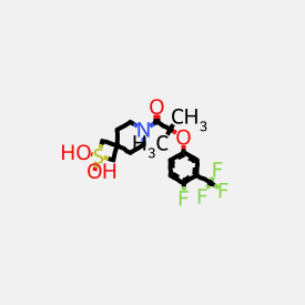 CC(C)(Oc1ccc(F)c(C(F)(F)F)c1)C(=O)N1CCC2(CC1)CS(O)(O)C2